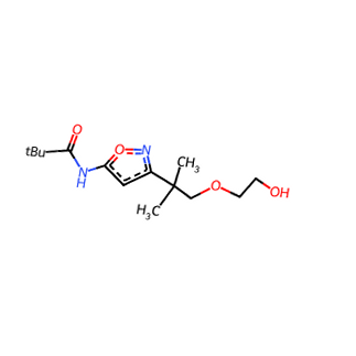 CC(C)(C)C(=O)Nc1cc(C(C)(C)COCCO)no1